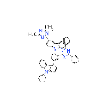 Cc1nc(C)nc(-c2ccc3c(c2)c2ccccc2n3-c2ccc(-c3cccc4c3c3ccccc3n4-c3ccccc3)cc2-c2nc(-c3ccccc3)nc(-c3ccccc3)n2)n1